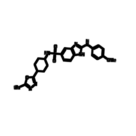 COc1ccc(Nc2nc3cc(S(=O)(=O)NC4CCC(c5nnc(C(C)(C)C)o5)CC4)ccc3[nH]2)cc1